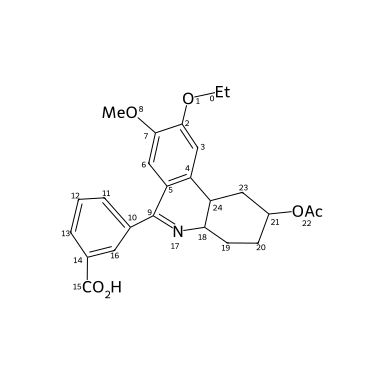 CCOc1cc2c(cc1OC)C(c1cccc(C(=O)O)c1)=NC1CCC(OC(C)=O)CC21